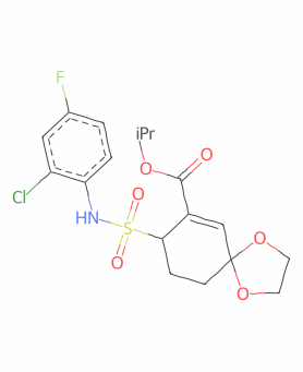 CC(C)OC(=O)C1=CC2(CCC1S(=O)(=O)Nc1ccc(F)cc1Cl)OCCO2